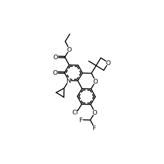 CCOC(=O)c1cc2c(n(C3CC3)c1=O)-c1cc(Cl)c(OC(F)F)cc1OC2C1(C)COC1